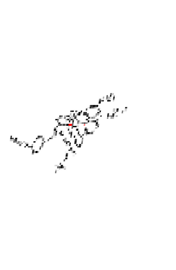 COc1ccc(CN(Cc2ccc(OC)cc2)S(=O)(=O)c2c(S(=O)(=O)CC[Si](C)(C)C)ccc(N3CCC(CNC(=O)O)CC3)c2-c2nnnn2Cc2ccc(OC)cc2)cc1